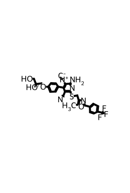 [C-]#[N+]c1c(N)nc(SCc2nc(-c3ccc(C(F)(F)F)cc3)oc2C)c(C#N)c1-c1ccc(OC[C@@H](O)CO)cc1